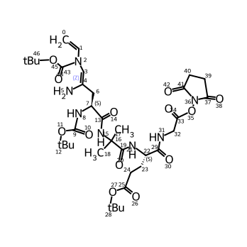 C=CN(/C=C(\N)C[C@H](NC(=O)OC(C)(C)C)C(=O)NC(C)(C)C(=O)N[C@@H](CCC(=O)OC(C)(C)C)C(=O)NCC(=O)ON1C(=O)CCC1=O)C(=O)OC(C)(C)C